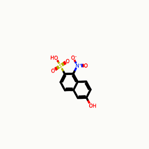 O=[N+]([O-])c1c(S(=O)(=O)O)ccc2cc(O)ccc12